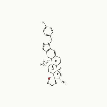 C[C@H]1C[C@H]2[C@@H]3CCC4=Cc5c(cnn5Cc5ccc(Br)cc5)C[C@]4(C)[C@@]3(Cl)[C@@H](O)C[C@]2(C)[C@]12OCOC21COCO1